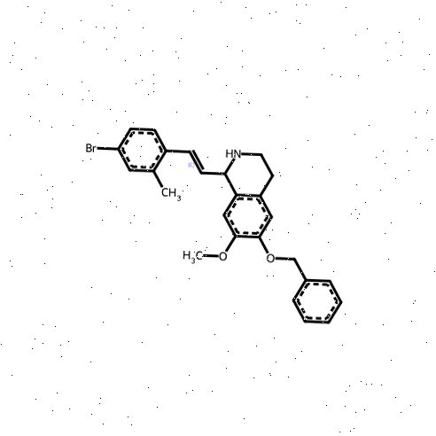 COc1cc2c(cc1OCc1ccccc1)CCNC2/C=C/c1ccc(Br)cc1C